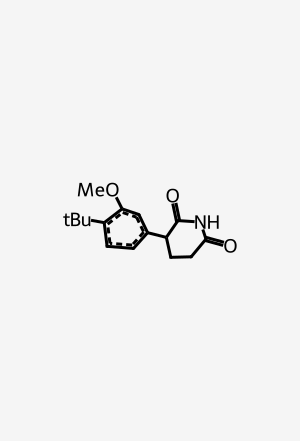 COc1cc(C2CCC(=O)NC2=O)ccc1C(C)(C)C